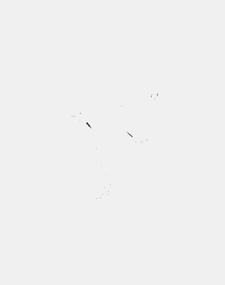 COC(=O)[C@@H](O)[C@H](O)c1ccccc1